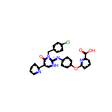 O=C(O)c1cccc(Oc2ccc(/N=c3\[nH]cc(-c4ccccn4)c(=O)n3Cc3ccc(Cl)cc3)cc2)n1